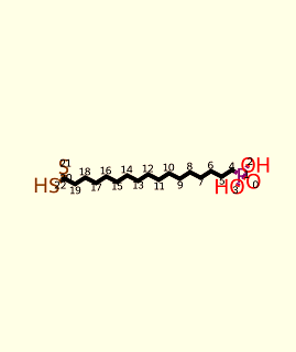 O=P(O)(O)CCCCCCCCCCCCCCCCC(=S)S